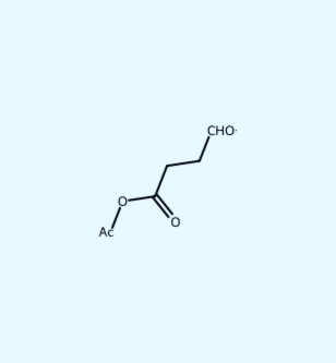 CC(=O)OC(=O)CC[C]=O